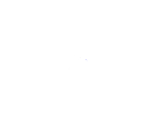 Cc1nn(C)c(-c2ccc(F)cc2)c1Cl